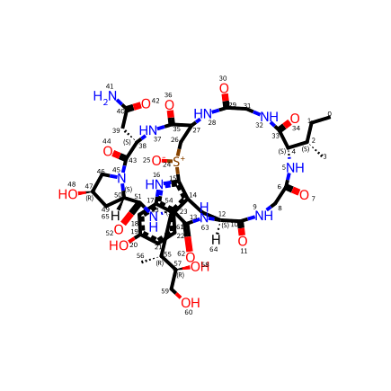 CC[C@H](C)[C@@H]1NC(=O)CNC(=O)[C@@H]2Cc3c([nH]c4cc(O)ccc34)[S+]([O-])CC(NC(=O)CNC1=O)C(=O)N[C@@H](CC(N)=O)C(=O)N1C[C@H](O)C[C@H]1C(=O)N[C@@H]([C@@H](C)[C@@H](O)CO)C(=O)N2